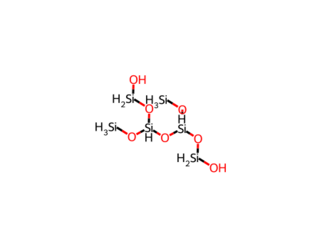 O[SiH2]O[SiH](O[SiH3])O[SiH](O[SiH3])O[SiH2]O